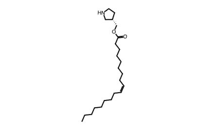 CCCCCCCC/C=C\CCCCCCCC(=O)OC[C@H]1CCNC1